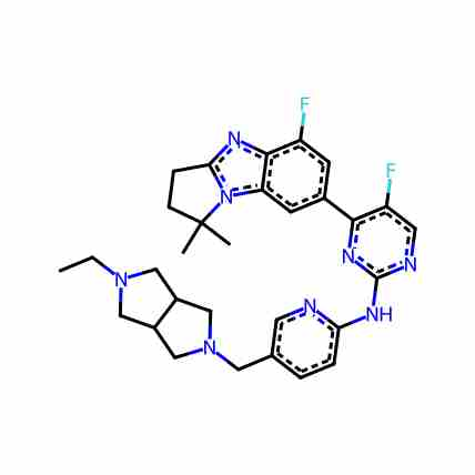 CCN1CC2CN(Cc3ccc(Nc4ncc(F)c(-c5cc(F)c6nc7n(c6c5)C(C)(C)CC7)n4)nc3)CC2C1